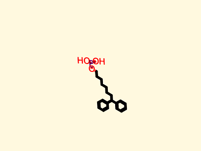 OP(O)OCCCCCCCC(c1ccccc1)c1ccccc1